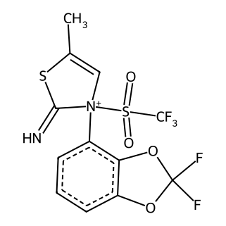 CC1=C[N+](c2cccc3c2OC(F)(F)O3)(S(=O)(=O)C(F)(F)F)C(=N)S1